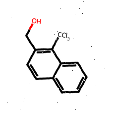 OCc1ccc2ccccc2c1C(Cl)(Cl)Cl